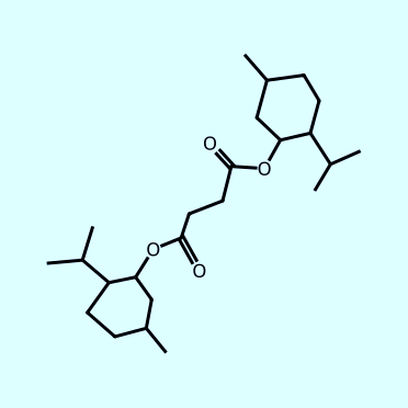 CC1CCC(C(C)C)C(OC(=O)CCC(=O)OC2CC(C)CCC2C(C)C)C1